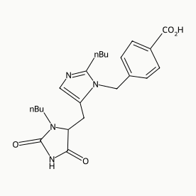 CCCCc1ncc(CC2C(=O)NC(=O)N2CCCC)n1Cc1ccc(C(=O)O)cc1